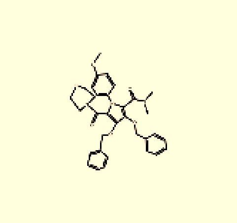 COc1ccc(-n2c(C(=O)N(C)C)c(OCc3ccccc3)c(OCc3ccccc3)c2C(=O)N2CCOCC2)cc1